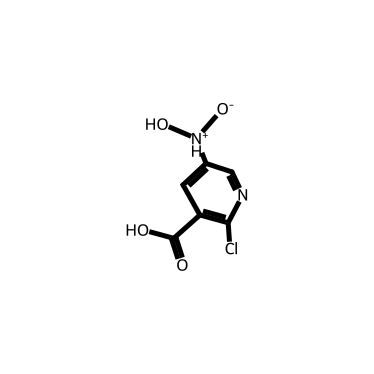 O=C(O)c1cc([NH+]([O-])O)cnc1Cl